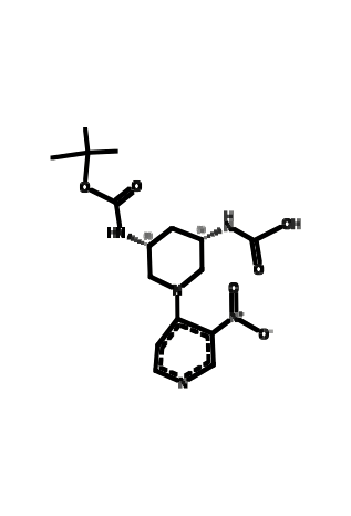 CC(C)(C)OC(=O)N[C@@H]1C[C@H](NC(=O)O)CN(c2ccncc2[N+](=O)[O-])C1